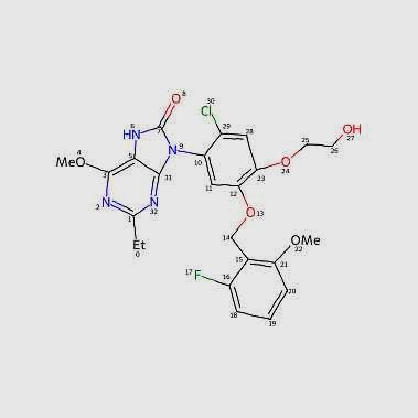 CCc1nc(OC)c2[nH]c(=O)n(-c3cc(OCc4c(F)cccc4OC)c(OCCO)cc3Cl)c2n1